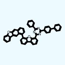 c1ccc(-c2ccc(-c3nc(-c4ccccc4)nc(-c4cccc5c4oc4c(-c6cccc7cc8oc9ccccc9c8cc67)cccc45)n3)cc2)cc1